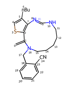 C=C1c2scc(CCCC)c2/N=C/NCCCCCN1Cc1ccccc1C#N